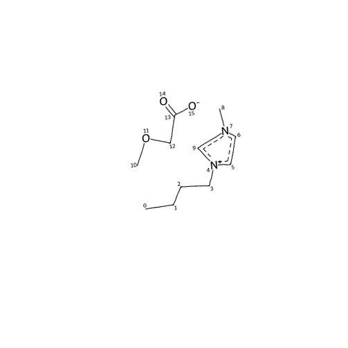 CCCC[n+]1ccn(C)c1.COCC(=O)[O-]